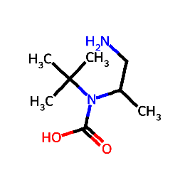 CC(CN)N(C(=O)O)C(C)(C)C